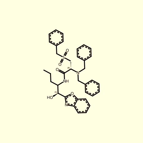 CCCC(NC(=O)[C@H](CS(=O)(=O)Cc1ccccc1)N(Cc1ccccc1)Cc1ccccc1)[C@H](O)c1nc2ccccc2o1